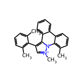 Cc1cccc(C)c1-c1c[n+](C)n2c3c(C)cccc3c3ccccc3c12